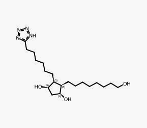 OCCCCCCCC[C@@H]1[C@H](CCCCCCc2nnn[nH]2)[C@H](O)C[C@@H]1O